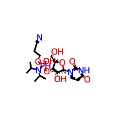 CC(C)N(C(C)C)[PH](O)(OCCC#N)O[C@H]1[C@@H](O)[C@H](n2ccc(=O)[nH]c2=O)O[C@@H]1CO